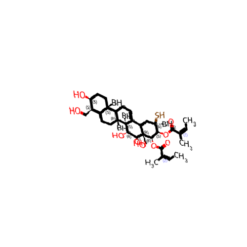 B[C@]12CC[C@H](O)[C@H](CO)C1CC[C@]1(B)C2CC=C2C3C[C@@](B)(S)[C@@H](OC(=O)/C(C)=C\C)[C@H](OC(=O)/C(C)=C\C)[C@]3(CO)[C@H](O)[C@H](O)[C@]21B